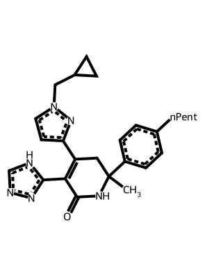 CCCCCc1ccc(C2(C)CC(c3ccn(CC4CC4)n3)=C(c3nnc[nH]3)C(=O)N2)cc1